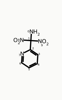 NC(c1ccccn1)([N+](=O)[O-])[N+](=O)[O-]